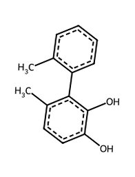 Cc1ccccc1-c1c(C)ccc(O)c1O